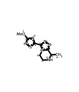 COc1nsc(-c2nnc3n2CCNC3C)n1